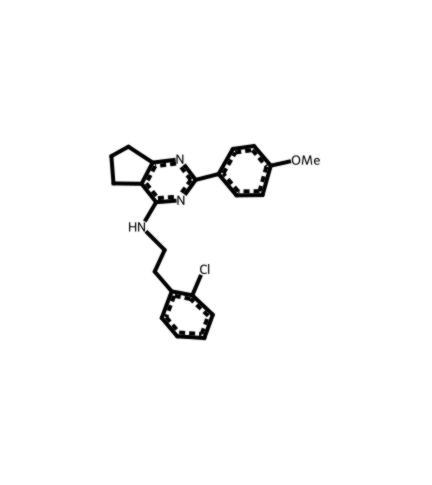 COc1ccc(-c2nc3c(c(NCCc4ccccc4Cl)n2)CCC3)cc1